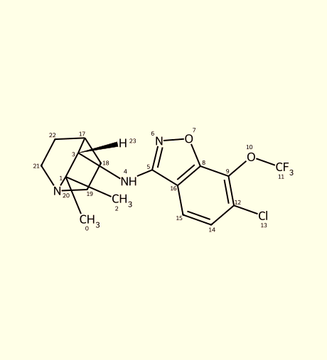 CC1(C)[C@@H](Nc2noc3c(OC(F)(F)F)c(Cl)ccc23)C2CCN1CC2